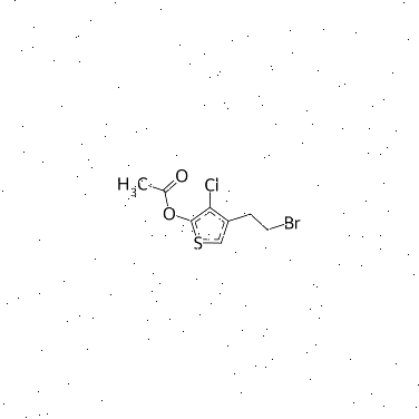 CC(=O)Oc1scc(CCBr)c1Cl